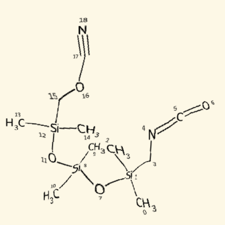 C[Si](C)(CN=C=O)O[Si](C)(C)O[Si](C)(C)COC#N